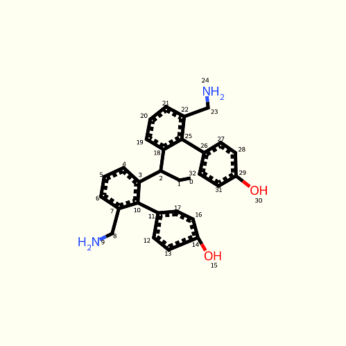 CCC(c1cccc(CN)c1-c1ccc(O)cc1)c1cccc(CN)c1-c1ccc(O)cc1